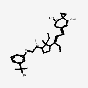 CC/C(=C\C=C1C[C@@H](O)C2(CC2)[C@H](O)C1)C1CCC([C@@H](C)CSc2cccc(C(C)(C)O)c2)C1(C)CC